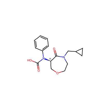 O=C1[C@H](N(C(=O)O)c2ccccc2)COCCN1CC1CC1